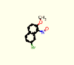 COc1ccc2ccc(Br)cc2c1N=O